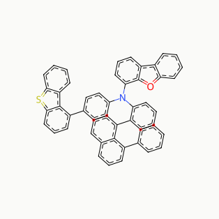 c1ccc(-c2cccc3cccc(-c4ccccc4N(c4ccc(-c5cccc6sc7ccccc7c56)cc4)c4cccc5c4oc4ccccc45)c23)cc1